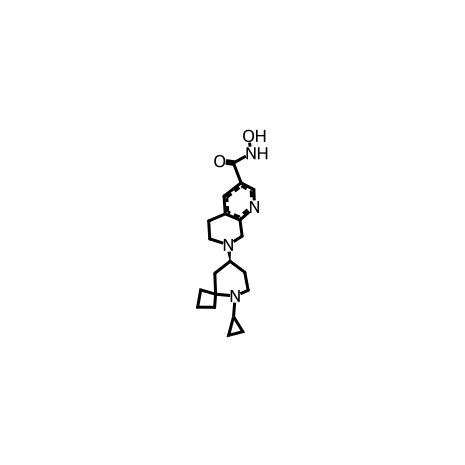 O=C(NO)c1cnc2c(c1)CCN([C@H]1CCN(C3CC3)C3(CCC3)C1)C2